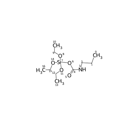 CCCNC(=O)O[Si](OCC)(OCC)OCC